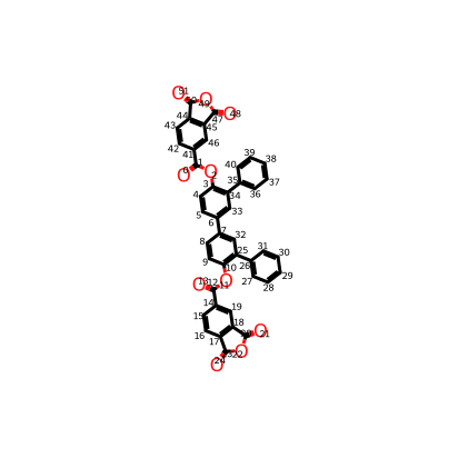 O=C(Oc1ccc(-c2ccc(OC(=O)c3ccc4c(c3)C(=O)OC4=O)c(-c3ccccc3)c2)cc1-c1ccccc1)c1ccc2c(c1)C(=O)OC2=O